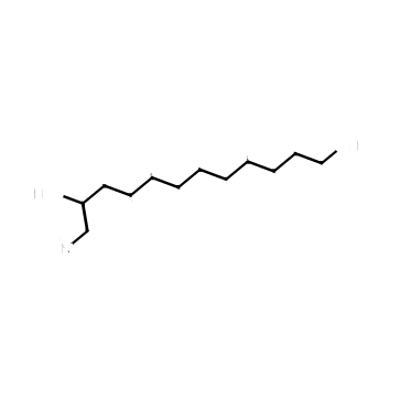 CCCCCCCCCCCC(C)CN